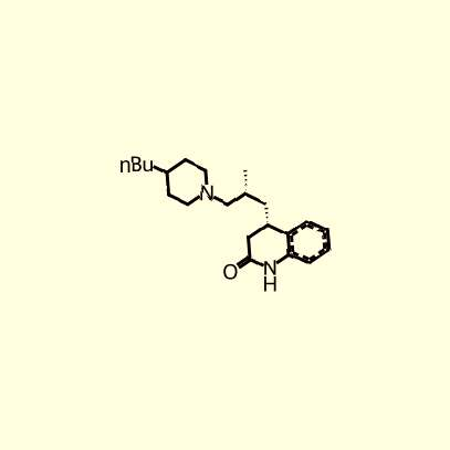 CCCCC1CCN(C[C@H](C)C[C@H]2CC(=O)Nc3ccccc32)CC1